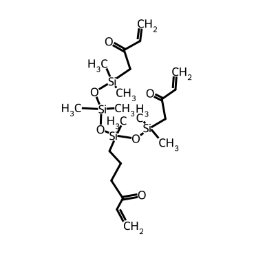 C=CC(=O)CCC[Si](C)(O[Si](C)(C)CC(=O)C=C)O[Si](C)(C)O[Si](C)(C)CC(=O)C=C